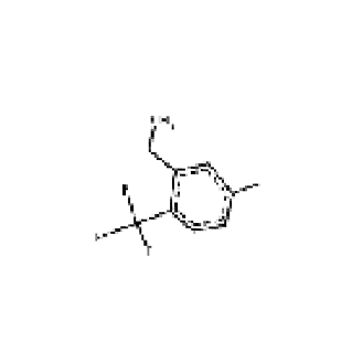 CCc1cc(Cl)ccc1C(F)(F)F